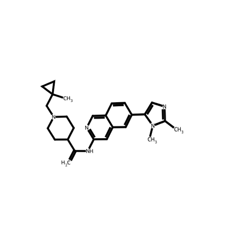 C=C(Nc1cc2cc(-c3cnc(C)n3C)ccc2cn1)C1CCN(CC2(C)CC2)CC1